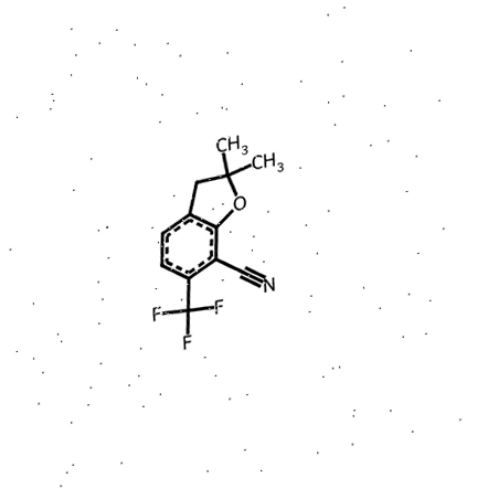 CC1(C)Cc2ccc(C(F)(F)F)c(C#N)c2O1